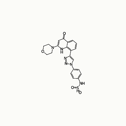 O=c1cc(N2CCOCC2)[nH]c2c(-c3cn(-c4ccc(N[SH](=O)=O)cc4)nn3)cccc12